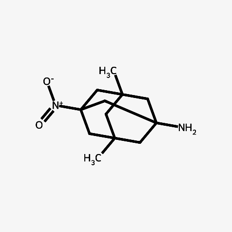 CC12CC3(C)CC(N)(C1)CC([N+](=O)[O-])(C2)C3